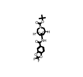 CC(C)(C)OC(=O)N1C[C@@H]2CC[C@H](CC(NC(=O)c3ccc4c(c3)OC(F)(F)O4)C2)C1